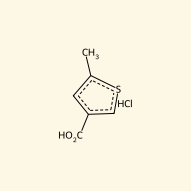 Cc1cc(C(=O)O)cs1.Cl